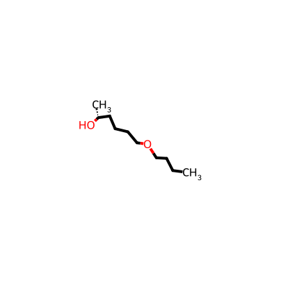 CCCCOCCCC[C@@H](C)O